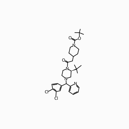 CC(C)(C)OC(=O)N1CCC(CC(=O)N2CCN(C(c3ccc(Cl)c(Cl)c3)c3ccccn3)C[C@@H]2C(C)(C)C)CC1